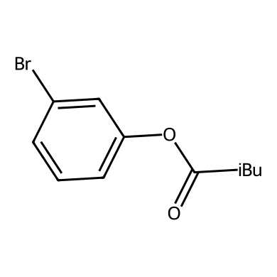 CCC(C)C(=O)Oc1cccc(Br)c1